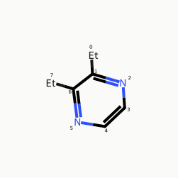 CCc1nccnc1CC